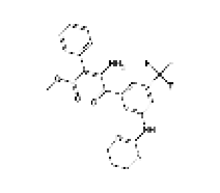 COC(=O)C(=C(N)C(=O)c1cc(NC2=NCCCN2)cc(C(F)(F)F)c1)c1ccccc1